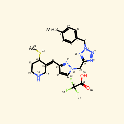 COc1ccc(Cn2nnc(Cn3ccc(C=C4CNCCC4SC(C)=O)n3)n2)cc1.O=C(O)C(F)(F)F